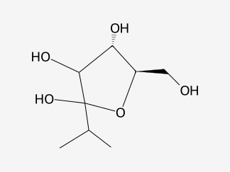 CC(C)C1(O)O[C@H](CO)[C@@H](O)C1O